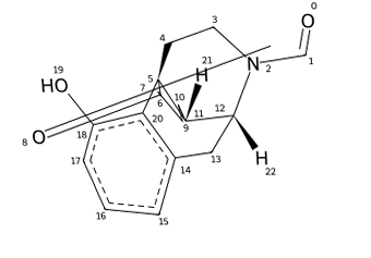 O=CN1CC[C@]23CC(=O)CC[C@H]2[C@H]1Cc1cccc(O)c13